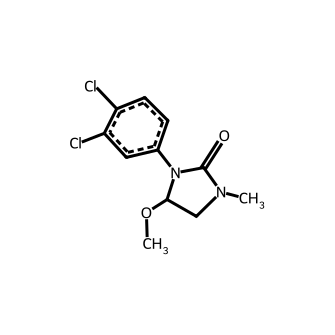 COC1CN(C)C(=O)N1c1ccc(Cl)c(Cl)c1